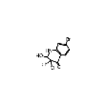 O=C1c2ccc(Br)cc2NC(O)C1(Cl)Cl